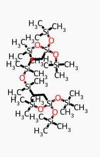 C[Si](C)(C)O[Si](CC[Si](C)(C)O[Si](C)(C)CC[Si](O[Si](C)(C)C)(O[Si](C)(C)C)O[Si](C)(C)C)(O[Si](C)(C)C)O[Si](C)(C)C